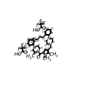 Cc1c(CN2CCN(c3ccccc3CCCN)CC2)cc(C(=O)N2CCN(c3ccccc3)C[C@H]2C)n1C.O=C(O)C(F)(F)F.O=C(O)C(F)(F)F